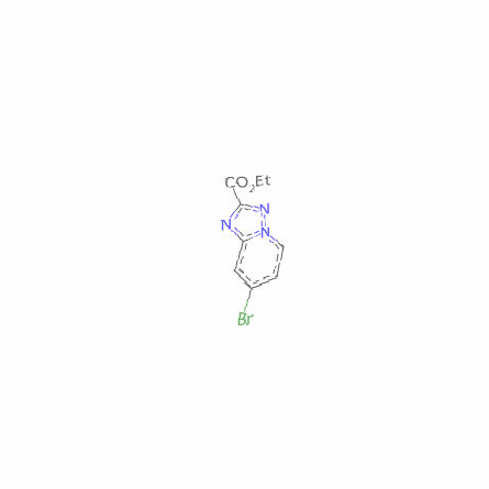 CCOC(=O)c1nc2cc(Br)ccn2n1